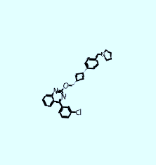 Clc1cccc(-c2nc(OC[C@H]3C[C@@H](c4ccc(CN5CCCC5)cc4)C3)nc3ccccc23)c1